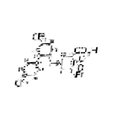 CCOP1(=O)CCN(Cc2ccc(Cl)cc2-c2ccc(Cl)cc2)CC1C(=O)O